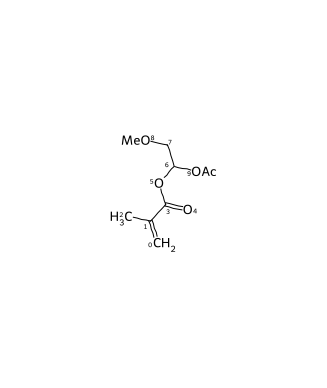 C=C(C)C(=O)OC(COC)OC(C)=O